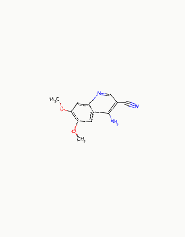 COc1cc2ncc(C#N)c(N)c2cc1OC